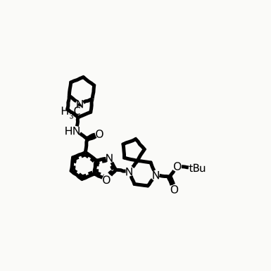 CN1C2CCCC1CC(NC(=O)c1cccc3oc(N4CCN(C(=O)OC(C)(C)C)CC45CCCC5)nc13)C2